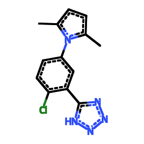 Cc1ccc(C)n1-c1ccc(Cl)c(-c2nnn[nH]2)c1